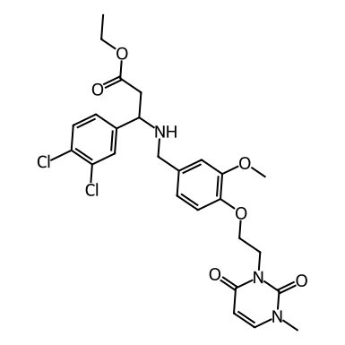 CCOC(=O)CC(NCc1ccc(OCCn2c(=O)ccn(C)c2=O)c(OC)c1)c1ccc(Cl)c(Cl)c1